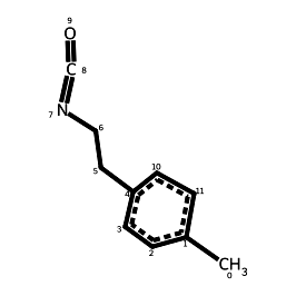 Cc1ccc(CCN=C=O)cc1